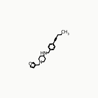 CCCC#Cc1ccc(CNC2CCN(Cc3ccoc3)CC2)cc1